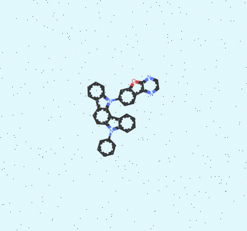 c1ccc(-n2c3ccccc3c3c2ccc2c4ccccc4n(-c4ccc5c(c4)oc4nccnc45)c23)cc1